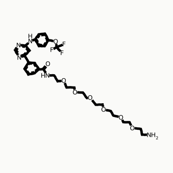 NCCOCCOCCOCCOCCOCCOCCNC(=O)c1cccc(-c2cc(Nc3ccc(OC(F)(F)F)cc3)ncn2)c1